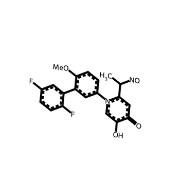 COc1ccc(-n2cc(O)c(=O)cc2C(C)N=O)cc1-c1cc(F)ccc1F